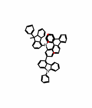 CC1(c2ccccc2)c2cccc(N(c3cccc(-c4cccc5c4c4ccccc4n5-c4ccccc4)c3)c3ccccc3-c3ccccc3-c3ccccc3-c3ccccc3)c2C2C=CC=CC21